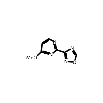 COc1ccnc(-c2ncon2)n1